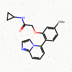 COc1ccc(-c2cccc3nccn23)c(OCC(=O)NC2CC2)c1